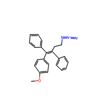 COc1ccc(/C(=C(/CCN=[N+]=[N-])c2ccccc2)c2ccccc2)cc1